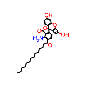 CCCCCCCCCCCCCC(=O)c1ccc2c(c1N)C(=O)OC21c2ccc(O)cc2Oc2cc(O)ccc21